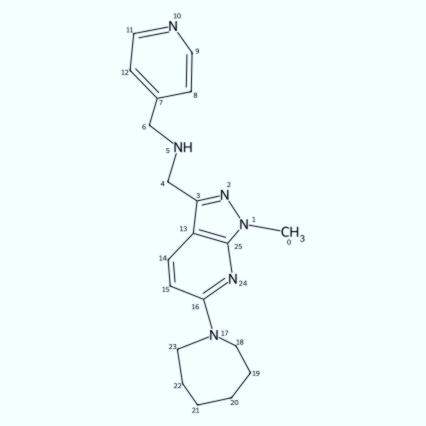 Cn1nc(CNCc2ccncc2)c2ccc(N3CCCCCC3)nc21